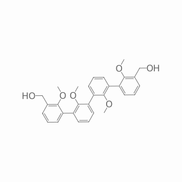 COc1c(CO)cccc1-c1cccc(-c2cccc(-c3cccc(CO)c3OC)c2OC)c1OC